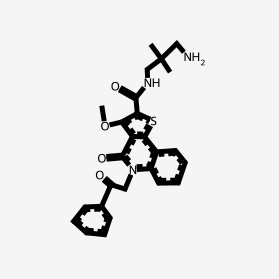 COc1c(C(=O)NCC(C)(C)CN)sc2c1c(=O)n(CC(=O)c1ccccc1)c1ccccc21